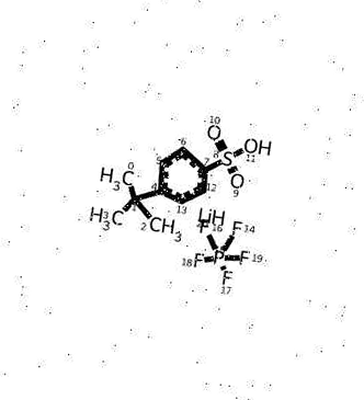 CC(C)(C)c1ccc(S(=O)(=O)O)cc1.FP(F)(F)(F)F.[LiH]